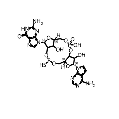 Nc1nc2c(ncn2[C@@H]2O[C@@H]3COP(=O)(O)OC4C(O)[C@H](n5ccc6c(N)ncnc65)O[C@@H]4COP(S)OC2C3O)c(=O)[nH]1